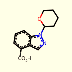 O=C(O)c1cccc2c1cnn2C1CCCCO1